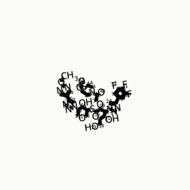 COc1ncc(-c2cn(C3COCC(SC4OC(CO)C(O)C(n5cc(-c6cc(F)c(F)c(F)c6)nn5)C4OCC(=O)N4CCS(=O)(=O)CC4)C3O)nn2)cn1